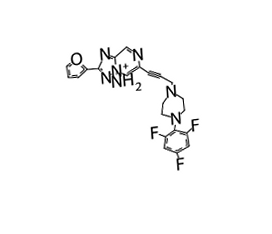 N[N+]12C=C(C#CCN3CCN(c4c(F)cc(F)cc4F)CC3)N=CC1=NC(c1ccco1)=N2